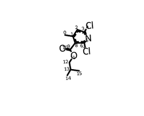 Cc1cc(Cl)nc(Cl)c1C(=O)OCC(C)C